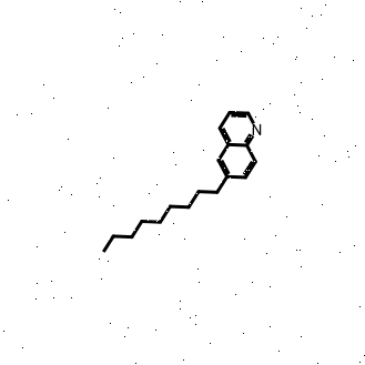 CCCCCCCCCc1ccc2ncccc2c1